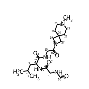 CC(C)CC(NC(=O)CNC=O)C(=O)NCC(=O)N1CC2(CCN(C)CC2)C1